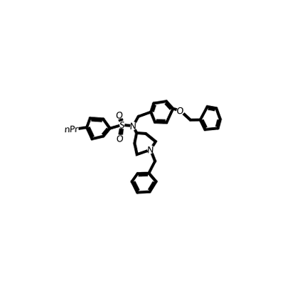 CCCc1ccc(S(=O)(=O)N(Cc2ccc(OCc3ccccc3)cc2)C2CCN(Cc3ccccc3)CC2)cc1